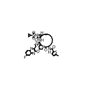 CCc1nc2ccc(F)cc2nc1O[C@@H]1C[C@H]2C(=O)N[C@]3(C(=O)NS(=O)(=O)C4CC4)C[C@H]3C=CCCCCC[C@H](NC(=O)c3ccc(C)s3)C(=O)N2C1